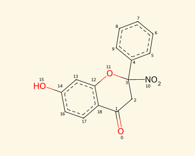 O=C1CC(c2ccccc2)([N+](=O)[O-])Oc2cc(O)ccc21